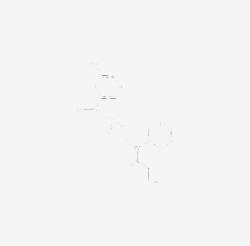 CCCCCCCCCCCC(=O)N(CCS(=O)(=O)Oc1ccc(O)cc1NCC)c1ccccc1